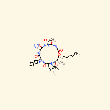 CCCCCC[C@H]1OC(=O)CNC(=O)[C@H](C(C)O)NC(=O)[C@H](CN)NC(=O)[C@H](C2CC3(CCC3)C2)NC(=O)[C@H](CC(C)C)N(C)C(=O)[C@@H]1C